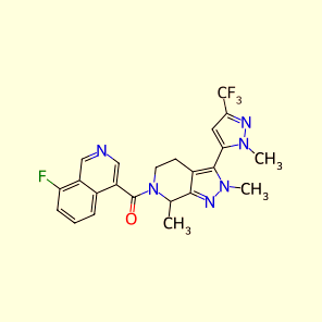 CC1c2nn(C)c(-c3cc(C(F)(F)F)nn3C)c2CCN1C(=O)c1cncc2c(F)cccc12